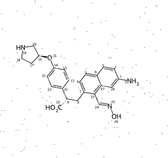 Nc1ccc2ccc(C[C@H](C(=O)O)c3ccc(O[C@H]4CCNC4)cc3)c(C=NO)c2c1